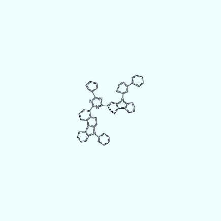 c1ccc(-c2cccc(-n3c4ccccc4c4ccc(-c5nc(-c6ccccc6)nc(-c6cccc7c6ccc6c7c7ccccc7n6-c6ccccc6)n5)cc43)c2)cc1